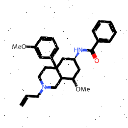 C=CCN1CCC2(c3cccc(OC)c3)C[C@@H](NC(=O)c3ccccc3)CC(OC)C2C1